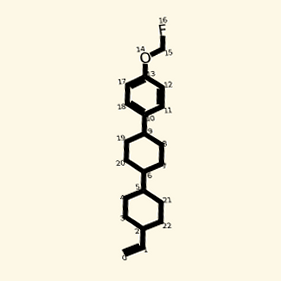 C=CC1CCC(C2CCC(c3ccc(OCF)cc3)CC2)CC1